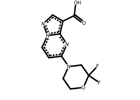 O=C(O)c1cnn2ccc(N3CCOC(F)(F)C3)nc12